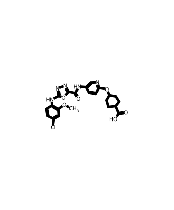 COc1cc(Cl)ccc1Nc1nnc(C(=O)Nc2ccc(OC3CCC(C(=O)O)CC3)nc2)o1